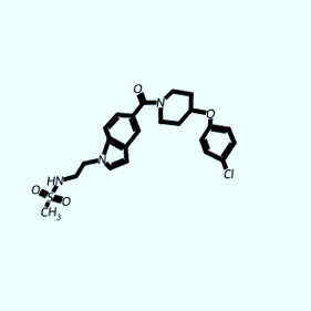 CS(=O)(=O)NCCn1ccc2cc(C(=O)N3CCC(Oc4ccc(Cl)cc4)CC3)ccc21